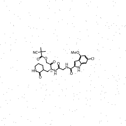 COc1cc(Cl)cc2[nH]c(C(=O)NCC(=O)N[C@@H](CC3CCCNC3=O)C(=O)COC(=O)C(C)(C)C#N)cc12